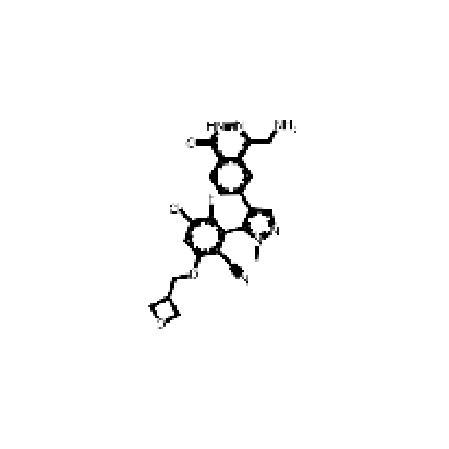 Cn1ncc(-c2ccc3c(=O)[nH]nc(CN)c3c2)c1-c1c(F)c(Cl)cc(OCC2COC2)c1C#N